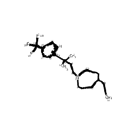 CC(C)(CCN1CCC(CO)CC1)c1ccc(C(F)(F)F)cc1